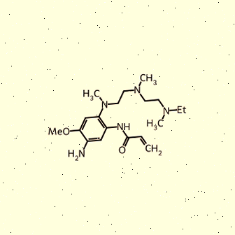 C=CC(=O)Nc1cc(N)c(OC)cc1N(C)CCN(C)CCN(C)CC